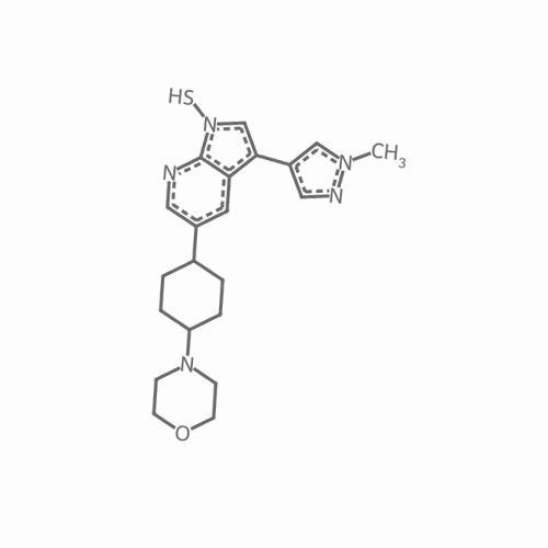 Cn1cc(-c2cn(S)c3ncc(C4CCC(N5CCOCC5)CC4)cc23)cn1